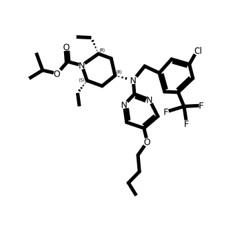 CCCCOc1cnc(N(Cc2cc(Cl)cc(C(F)(F)F)c2)[C@H]2C[C@@H](CC)N(C(=O)OC(C)C)[C@@H](CC)C2)nc1